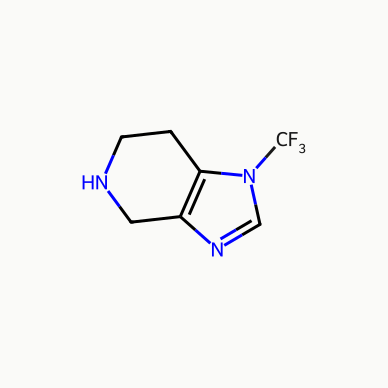 FC(F)(F)n1cnc2c1CCNC2